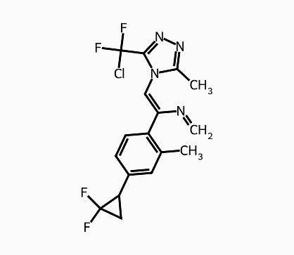 C=N/C(=C\n1c(C)nnc1C(F)(F)Cl)c1ccc(C2CC2(F)F)cc1C